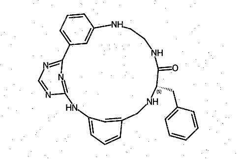 O=C1NCCNc2cccc(c2)-c2ncnc(n2)Nc2cccc(c2)CN[C@H]1Cc1ccccc1